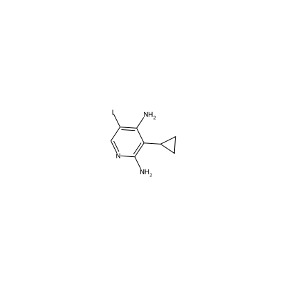 Nc1ncc(I)c(N)c1C1CC1